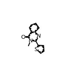 Cn1c(-c2cccs2)nc2ccccc2c1=O